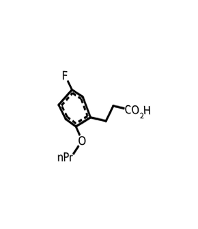 CCCOc1ccc(F)cc1CCC(=O)O